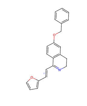 C(=C\c1ccco1)/C1=NCCc2cc(OCc3ccccc3)ccc21